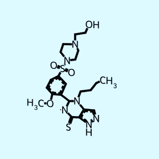 CCCCN1c2cn[nH]c2C(=S)[N]C1c1cc(S(=O)(=O)N2CCN(CCO)CC2)ccc1OC